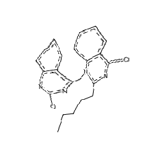 CCCCCc1nc(=O)c2ccccc2n1-c1nc(Cl)nc2ccccc12